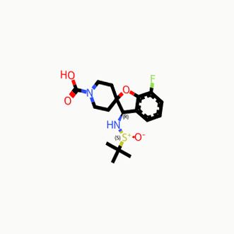 CC(C)(C)[S@@+]([O-])N[C@@H]1c2cccc(F)c2OC12CCN(C(=O)O)CC2